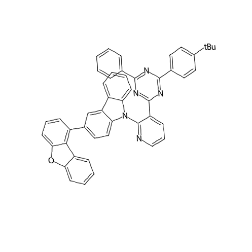 CC(C)(C)c1ccc(-c2nc(-c3ccccc3)nc(-c3cccnc3-n3c4ccccc4c4cc(-c5cccc6oc7ccccc7c56)ccc43)n2)cc1